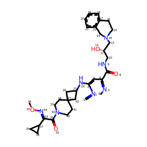 C=N/C(=C\C(=N/C)C(=O)NC[C@H](O)CN1CCc2ccccc2C1)NC1CC2(CCN(C(=O)C(=NOC)C3CC3)CC2)C1